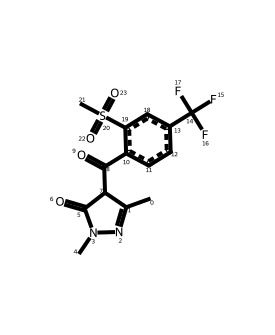 CC1=NN(C)C(=O)C1C(=O)c1ccc(C(F)(F)F)cc1S(C)(=O)=O